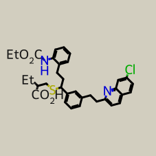 CCOC(=O)Nc1ccccc1CCC(SCC(CC)C(=O)O)c1cccc(CCc2ccc3ccc(Cl)cc3n2)c1